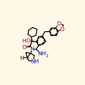 NC1c2ccc(Cc3ccc4c(c3)OCO4)cc2[C@@](O)(C2CCCCC2)C(=O)N1C12CNC[C@@H]1C2